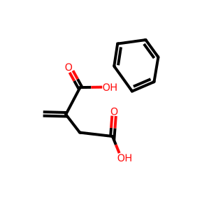 C=C(CC(=O)O)C(=O)O.c1ccccc1